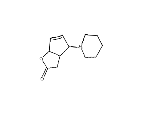 O=C1CC2C(C=CC2N2CCCCC2)O1